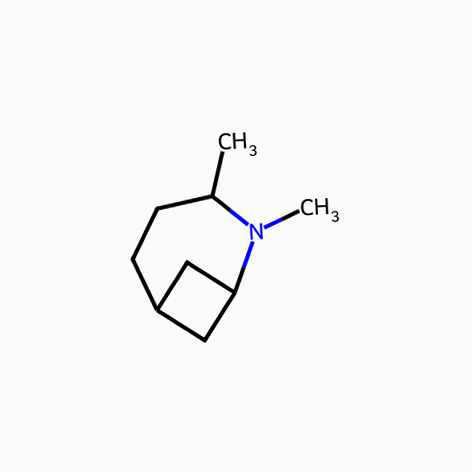 CC1CCC2CC(C2)N1C